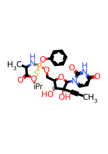 CC#C[C@]1(O)C(n2ccc(=O)[nH]c2=O)OC(COP(=S)(NC(C)C(=O)OC(C)C)Oc2ccccc2)[C@H]1O